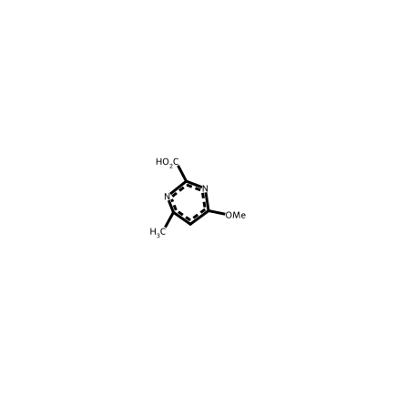 COc1cc(C)nc(C(=O)O)n1